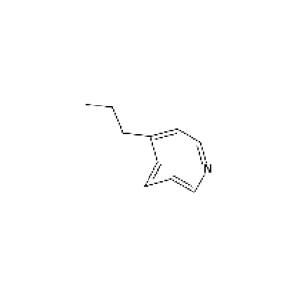 CCCC1=C/C=N\C=C\C=C\1